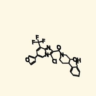 O=C(c1nc2c(C(F)(F)F)cc(-c3ccoc3)cn2c1Cl)N1CCC(c2ccccc2F)C(O)C1